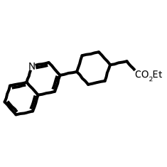 CCOC(=O)CC1CCC(c2cnc3ccccc3c2)CC1